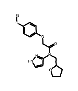 CCOc1ccc(OCC(=O)N(CC2CCCO2)c2cc[nH]n2)cc1